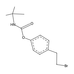 CC(C)(C)NC(=O)Oc1ccc(CCBr)cc1